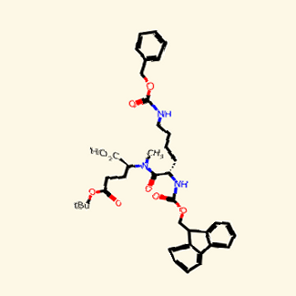 CN(C(=O)[C@H](CCCCNC(=O)OCc1ccccc1)NC(=O)OCC1c2ccccc2-c2ccccc21)[C@@H](CCC(=O)OC(C)(C)C)C(=O)O